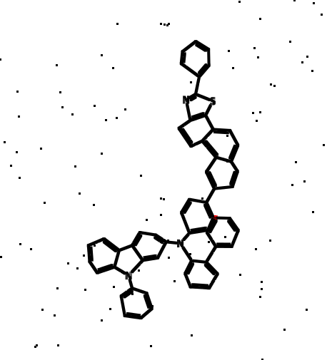 c1ccc(-c2nc3ccc4c5cc(-c6ccc(N(c7ccc8c9ccccc9n(-c9ccccc9)c8c7)c7ccccc7-c7ccccc7)cc6)ccc5ccc4c3s2)cc1